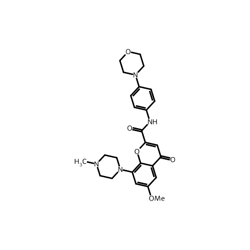 COc1cc(N2CCN(C)CC2)c2oc(C(=O)Nc3ccc(N4CCOCC4)cc3)cc(=O)c2c1